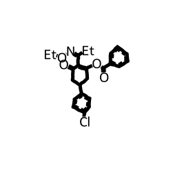 CCO/N=C(/CC)C1=C(OC(=O)c2ccccc2)CC(c2ccc(Cl)cc2)CC1=O